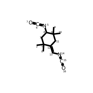 CC1(C)CC(N=C=O)C(C)(C)CC1=CN=C=O